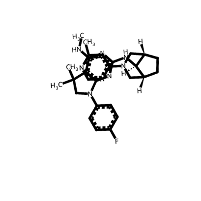 CNc1nc(N[C@@H]2[C@@H]3CC[C@H]2CN(c2cc(C)ncn2)C3)nc2c1C(C)(C)CN2c1ccc(F)cc1